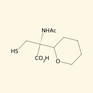 CC(=O)N[C@@](CS)(C(=O)O)C1CCCCO1